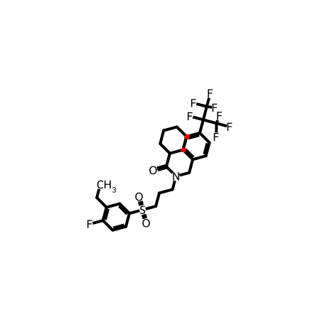 CCc1cc(S(=O)(=O)CCCN(Cc2ccc(C(F)(C(F)(F)F)C(F)(F)F)cc2)C(=O)C2CCCCC2)ccc1F